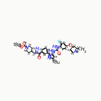 Cc1cc(Oc2ccc(NC(=O)Nc3cc(C(C)(C)C)nn3-c3cccc(C(=O)NCC4CCN(C(=O)OC(C)(C)C)CC4)c3)c(F)c2)ccn1